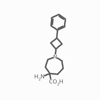 NC1(C(=O)O)CCCN(C2CC(c3ccccc3)C2)CC1